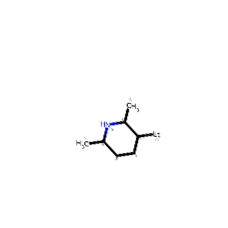 CCC1CCC(C)NC1C